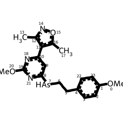 COc1ccc(CC[AsH]c2cc(-c3c(C)noc3C)nc(OC)n2)cc1